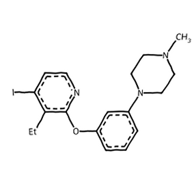 CCc1c(I)ccnc1Oc1cccc(N2CCN(C)CC2)c1